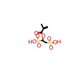 C=C(C)C(=O)OC(CS(=O)(=O)O)S(=O)(=O)O